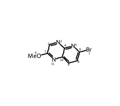 COc1cnc2nc(Br)ccc2n1